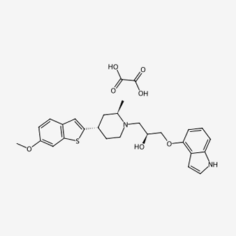 COc1ccc2cc([C@H]3CCN(C[C@H](O)COc4cccc5[nH]ccc45)[C@H](C)C3)sc2c1.O=C(O)C(=O)O